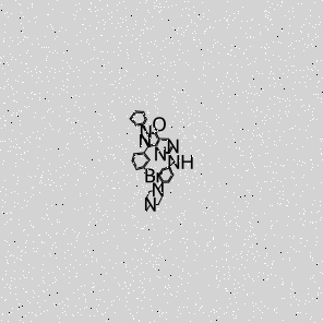 CN1CCN(c2ccc(Nc3ncc4c(=O)n(-c5ccccc5)nc(-c5cccc(Br)c5)c4n3)cc2)CC1